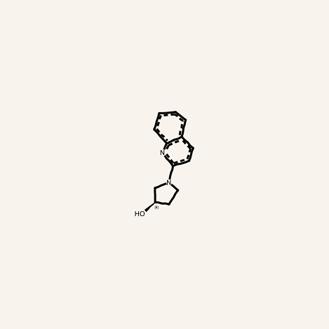 O[C@@H]1CCN(c2ccc3ccccc3n2)C1